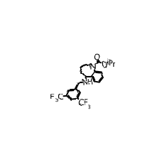 CC(C)OC(=O)N1CCCC(NCc2cc(C(F)(F)F)cc(C(F)(F)F)c2)c2ccccc21